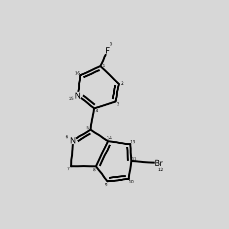 Fc1ccc(C2=NCc3ccc(Br)cc32)nc1